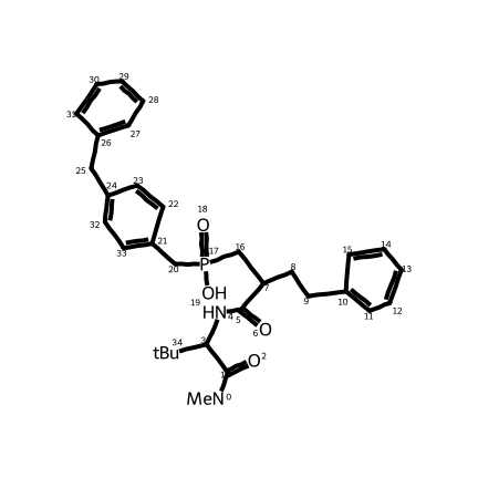 CNC(=O)C(NC(=O)C(CCc1ccccc1)CP(=O)(O)Cc1ccc(Cc2ccccc2)cc1)C(C)(C)C